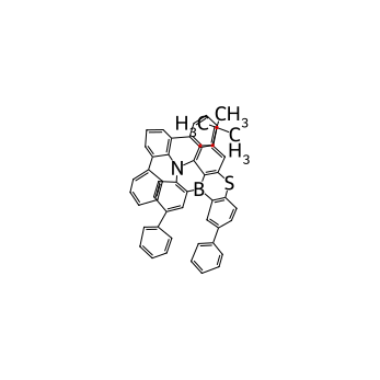 CC(C)(C)c1cc2c3c(c1)N(c1c(-c4ccccc4)cccc1-c1ccccc1)c1ccc(-c4ccccc4)cc1B3c1cc(-c3ccccc3)ccc1S2